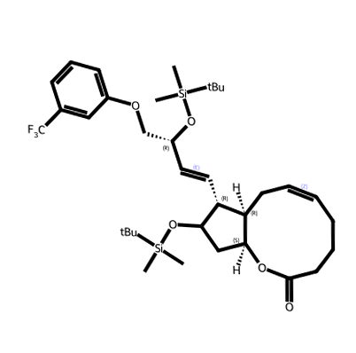 CC(C)(C)[Si](C)(C)OC1C[C@@H]2OC(=O)CCC/C=C\C[C@@H]2[C@H]1/C=C/[C@H](COc1cccc(C(F)(F)F)c1)O[Si](C)(C)C(C)(C)C